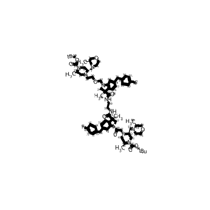 C[C@@H]1COCCN1C[C@H]1CN(C(=O)OC(C)(C)C)[C@H](C)CN1CCOCN1CC(C)(C(=O)NCCNC(=O)C2(C)CN(C(=O)CN3C[C@@H](C)N(C(=O)OC(C)(C)C)C[C@@H]3CN3CCOC[C@H]3C)c3cc(Cc4ccc(F)cc4)ccc32)c2ccc(Cc3ccc(F)cc3)cc21